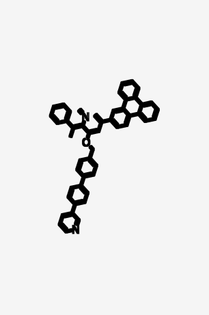 C=NC(=C(/C)c1ccccc1)/C(=C\C(=C)c1ccc2c3ccccc3c3ccccc3c2c1)OCc1ccc(-c2ccc(-c3cccnc3)cc2)cc1